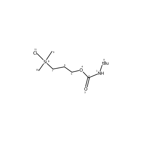 CC(C)(C)NC(=O)OCCC[Si](C)(C)Cl